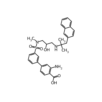 CN(CC(O)CNC(C)(C)Cc1ccc2ccccc2c1)S(=O)(=O)c1cccc(-c2ccc(C(=O)O)c(N)c2)c1